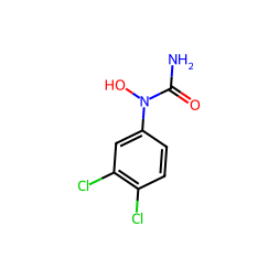 NC(=O)N(O)c1ccc(Cl)c(Cl)c1